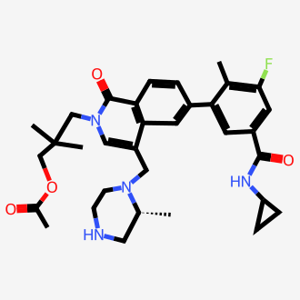 CC(=O)OCC(C)(C)Cn1cc(CN2CCNC[C@H]2C)c2cc(-c3cc(C(=O)NC4CC4)cc(F)c3C)ccc2c1=O